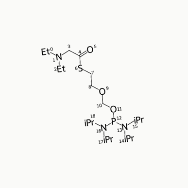 CCN(CC)CC(=O)SCCOCOP(N(C(C)C)C(C)C)N(C(C)C)C(C)C